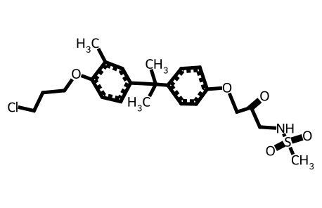 Cc1cc(C(C)(C)c2ccc(OCC(=O)CNS(C)(=O)=O)cc2)ccc1OCCCCl